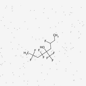 CCC(F)CC(O)(C(F)(F)F)C(F)(F)CC(C)(F)F